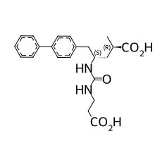 C[C@H](C[C@@H](Cc1ccc(-c2ccccc2)cc1)NC(=O)NCCC(=O)O)C(=O)O